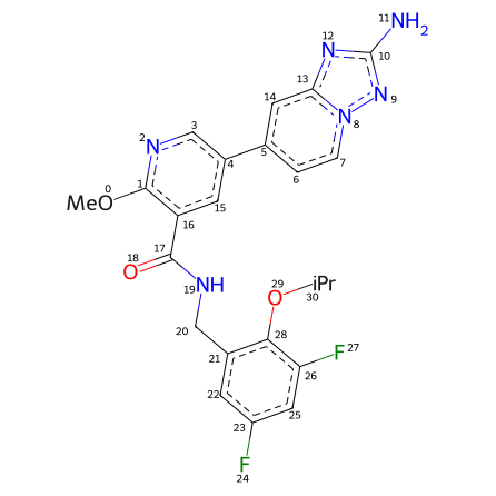 COc1ncc(-c2ccn3nc(N)nc3c2)cc1C(=O)NCc1cc(F)cc(F)c1OC(C)C